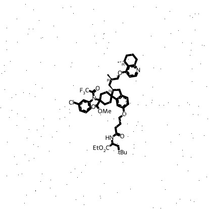 CCOC(=O)C(CC(C)(C)C)NC(=O)CCCOc1ccc2c(c1)C1(CCC(C(=O)OC)(N(C(=O)C(F)(F)F)c3cccc(Cl)c3)CC1)[C@@H](C[C@@H](C)COc1ccnc3c1[C@H](C)CCC3)C2